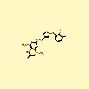 Cc1nc(NCc2cnn(Cc3cccc(F)c3F)c2)nc2c1NC(=O)CN2C